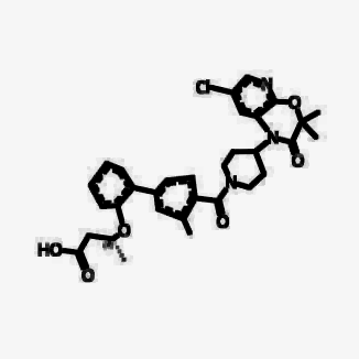 Cc1cc(-c2ccccc2O[C@H](C)CC(=O)O)ccc1C(=O)N1CCC(N2C(=O)C(C)(C)Oc3ncc(Cl)cc32)CC1